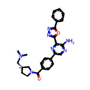 CN(C)C[C@@H]1CCN(C(=O)c2ccc(-c3cnc(N)c(-c4nnc(-c5ccccc5)o4)n3)cc2)C1